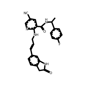 CC(NC(=O)c1cc(C#N)cnc1NCC=Cc1ccc2c(c1)NC(=O)C2)c1ccc(F)cc1